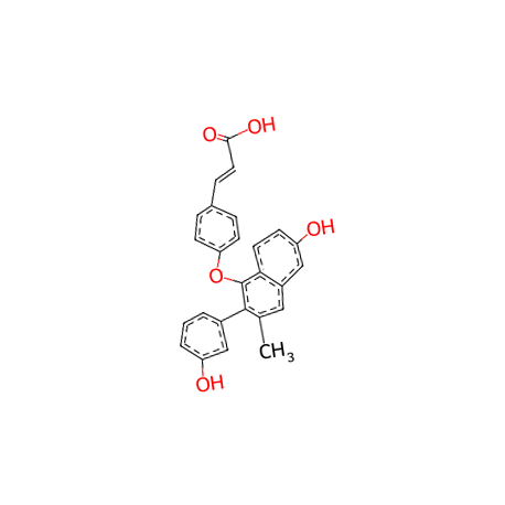 Cc1cc2cc(O)ccc2c(Oc2ccc(C=CC(=O)O)cc2)c1-c1cccc(O)c1